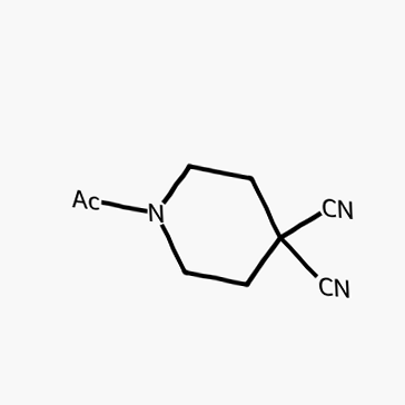 CC(=O)N1CCC(C#N)(C#N)CC1